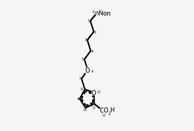 CCCCCCCCCCCCCCOCc1ccc(C(=O)O)o1